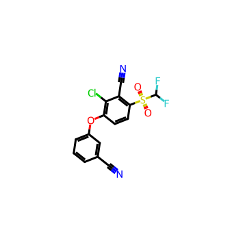 N#Cc1cccc(Oc2ccc(S(=O)(=O)C(F)F)c(C#N)c2Cl)c1